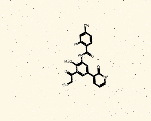 COc1c(NC(=O)c2ccc(O)cc2F)cc(-c2ccc[nH]c2=O)cc1C(=O)CC(C)(C)C